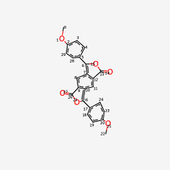 COc1ccc(C2=c3cc4c(cc3C(=O)O2)=C(c2ccc(OC)cc2)OC4=O)cc1